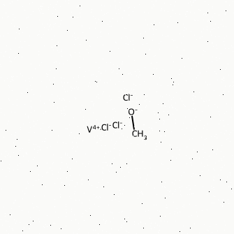 C[O-].[Cl-].[Cl-].[Cl-].[V+4]